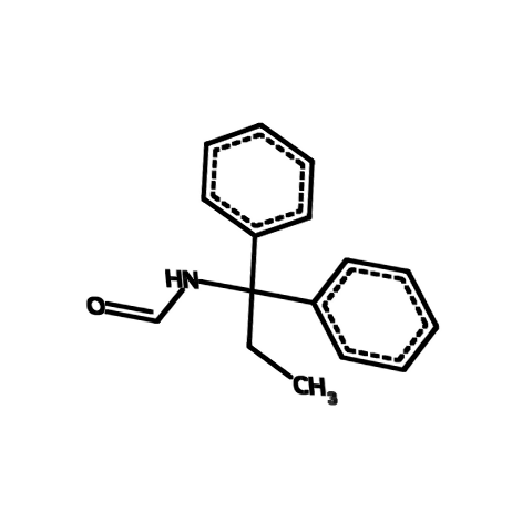 CCC(NC=O)(c1ccccc1)c1ccccc1